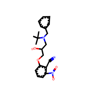 CC(C)(C)N(Cc1ccccc1)CC(O)COc1cccc([N+](=O)[O-])c1C#N